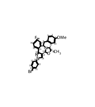 COc1ccc(CCN2C[C@H](C)O[C@H]2c2cn(-c3ccc(Br)cc3)nc2-c2ccc(F)cc2)cc1